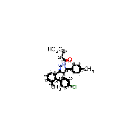 Cc1ccc(C2CC(c3cccc(C)c3-c3ccc(Cl)cc3)=NN2C(=O)CCC(=O)O)cc1